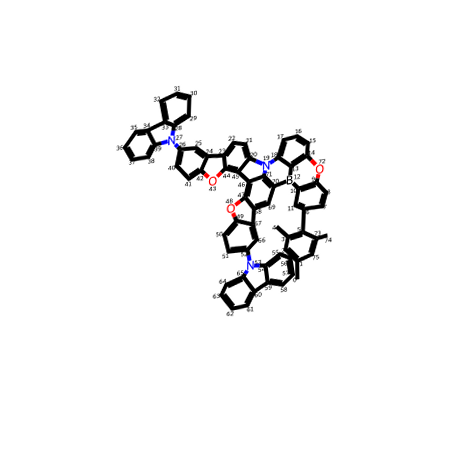 Cc1cc(C)c(-c2ccc3c(c2)B2c4c(cccc4-n4c5ccc6c7cc(-n8c9ccccc9c9ccccc98)ccc7oc6c5c5c6oc7ccc(-n8c9ccccc9c9ccccc98)cc7c6cc2c54)O3)c(C)c1